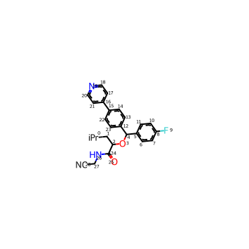 CC(C)CC(OC(c1ccc(F)cc1)c1ccc(-c2ccncc2)cc1)C(=O)NCC#N